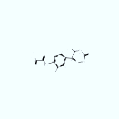 CC(=O)C(=O)Nc1ccc(C2=NNC(=O)NC2C)cc1Cl